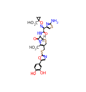 Nc1nc(C(=NOC2(C(=O)O)CC2)C(=O)N[C@@H]2C(=O)N3C(C(=O)O)=C(CSc4ncc(-c5ccc(O)c(O)c5)o4)CS[C@@H]23)cs1